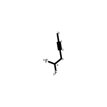 [CH2]C#CCC(F)F